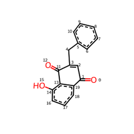 O=C1C=C(Cc2ccccc2)C(=O)c2c(O)cccc21